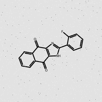 O=C1c2ccccc2C(=O)c2[nH]c(-c3ccccc3F)nc21